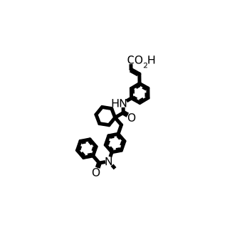 CN(C(=O)c1ccccc1)c1ccc(CC2(C(=O)Nc3cccc(/C=C/C(=O)O)c3)CCCCC2)cc1